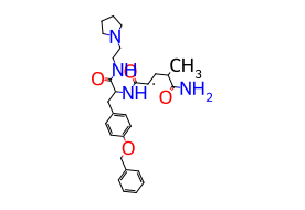 CC(C[CH]C(=O)NC(Cc1ccc(OCc2ccccc2)cc1)C(=O)NCCN1CCCC1)C(N)=O